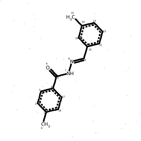 Cc1ccc(C(=O)N/N=C/c2cccc(C)c2)cc1